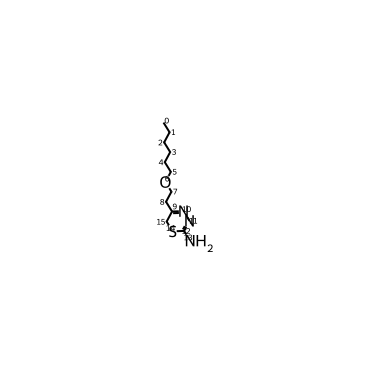 CCCCCCOCCC1=NN=C(N)SC1